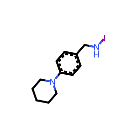 INCc1ccc(N2CCCCC2)cc1